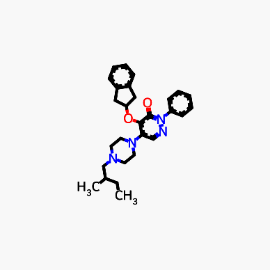 CCC(C)CN1CCN(c2cnn(-c3ccccc3)c(=O)c2OC2Cc3ccccc3C2)CC1